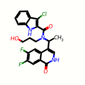 CC(c1c[nH]c(=O)c2cc(F)c(F)cc12)N(CCCO)C(=O)c1[nH]c2ccccc2c1Cl